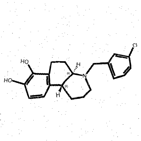 Oc1ccc2c(c1O)CC[C@@H]1[C@@H]2CCCN1Cc1cccc(Cl)c1